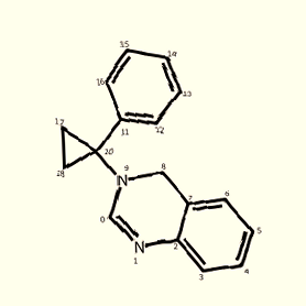 C1=Nc2ccccc2CN1C1(c2ccccc2)CC1